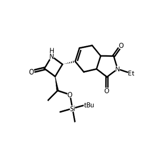 CCN1C(=O)C2CC=C([C@H]3NC(=O)[C@@H]3C(C)O[Si](C)(C)C(C)(C)C)CC2C1=O